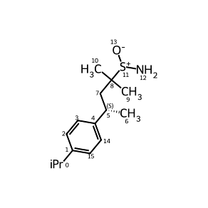 CC(C)c1ccc([C@@H](C)CC(C)(C)[S+](N)[O-])cc1